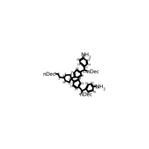 CCCCCCCCCCCCC1CCC(c2ccc(C(CCCCCCCCCC)c3ccc(N)cc3)cc2)(c2ccc(C(CCCCCCCCCC)c3ccc(N)cc3)cc2)CC1